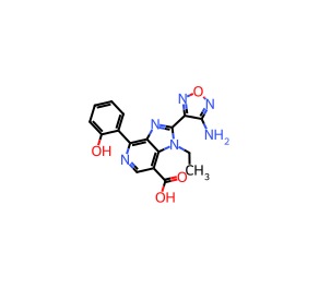 CCn1c(-c2nonc2N)nc2c(-c3ccccc3O)ncc(C(=O)O)c21